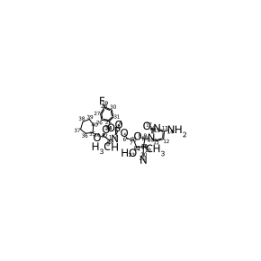 C[C@H](NP(=O)(OC[C@H]1O[C@@H](n2ccc(N)nc2=O)[C@](C)(C#N)[C@@H]1O)Oc1ccc(F)cc1)C(=O)OC1CCCCC1